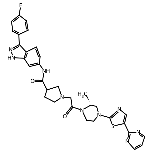 C[C@@H]1CN(c2ncc(-c3ncccn3)s2)CCN1C(=O)CN1CCC(C(=O)Nc2ccc3c(-c4ccc(F)cc4)n[nH]c3c2)C1